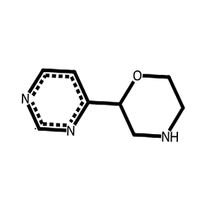 [c]1nccc(C2CNCCO2)n1